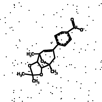 CC1(C)OC2C(O1)C1(C)CC(c3ccc([N+](=O)[O-])cc3)=CC2(C)O1